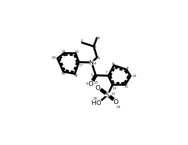 CC(C)CN(C(=O)c1ccccc1S(=O)(=O)O)c1ccccc1